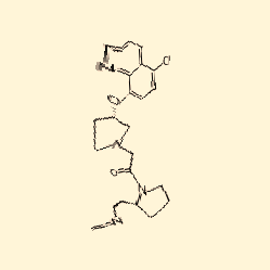 C=NC[C@@H]1CCCN1C(=O)CN1CC[C@H](Oc2ccc(Cl)c3cccnc23)C1